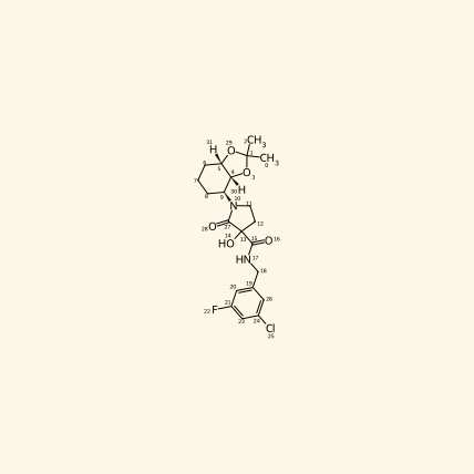 CC1(C)O[C@H]2[C@H](CCC[C@@H]2N2CCC(O)(C(=O)NCc3cc(F)cc(Cl)c3)C2=O)O1